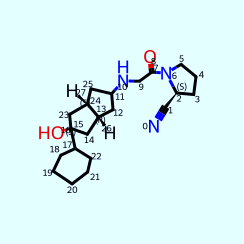 N#C[C@@H]1CCCN1C(=O)CNC1C[C@@H]2C[C@](O)(C3CCCCC3)C[C@@H]2C1